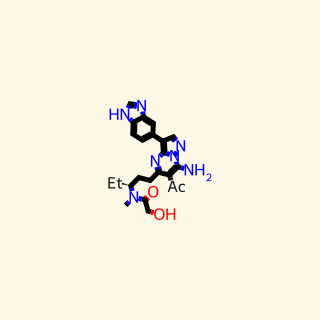 CC[C@H](CCc1nc2c(-c3ccc4[nH]cnc4c3)cnn2c(N)c1C(C)=O)N(C)C(=O)CO